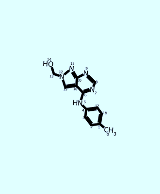 Cc1ccc(Nc2ncnc3nn(CO)cc23)cc1